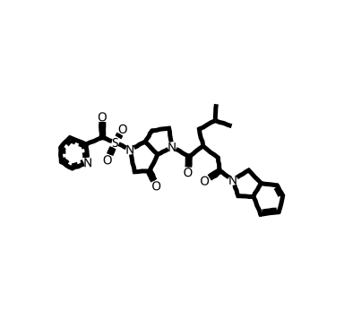 CC(C)CC(CC(=O)N1CC2C=CC=CC2C1)C(=O)N1CCC2C1C(=O)CN2S(=O)(=O)C(=O)c1ccccn1